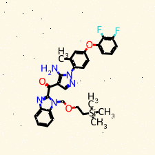 Cc1cc(Oc2cccc(F)c2F)ccc1-n1ncc(C(=O)c2nc3ccccc3n2COCC[Si](C)(C)C)c1N